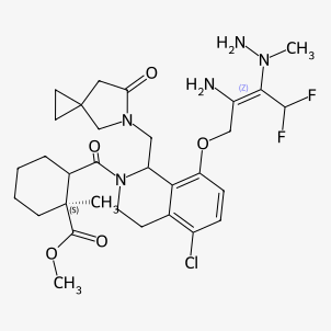 COC(=O)[C@@]1(C)CCCCC1C(=O)N1CCc2c(Cl)ccc(OC/C(N)=C(\C(F)F)N(C)N)c2C1CN1CC2(CC2)CC1=O